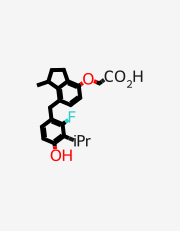 CC(C)c1c(O)ccc(Cc2ccc(OCC(=O)O)c3c2C(C)CC3)c1F